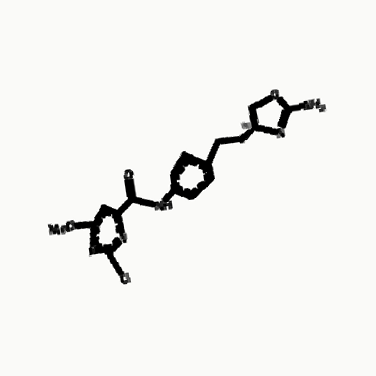 COc1cc(C(=O)Nc2ccc(CC[C@H]3COC(N)=N3)cc2)nc(Cl)n1